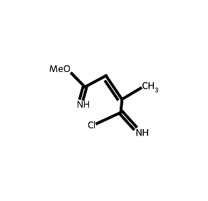 COC(=N)/C=C(/C)C(=N)Cl